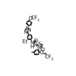 CCc1cc(-c2ncn(-c3ccc(OC(F)(F)F)cc3)n2)ccc1NC(=O)N=C1SCC(=O)N1c1cc(C)ccc1OCCC(F)(F)F